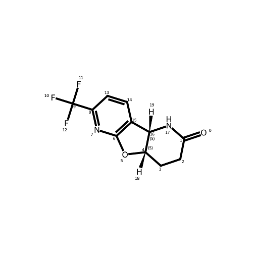 O=C1CC[C@@H]2Oc3nc(C(F)(F)F)ccc3[C@@H]2N1